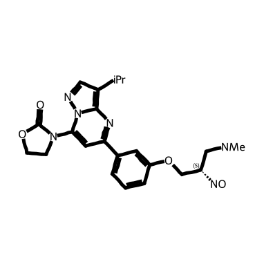 CNC[C@@H](COc1cccc(-c2cc(N3CCOC3=O)n3ncc(C(C)C)c3n2)c1)N=O